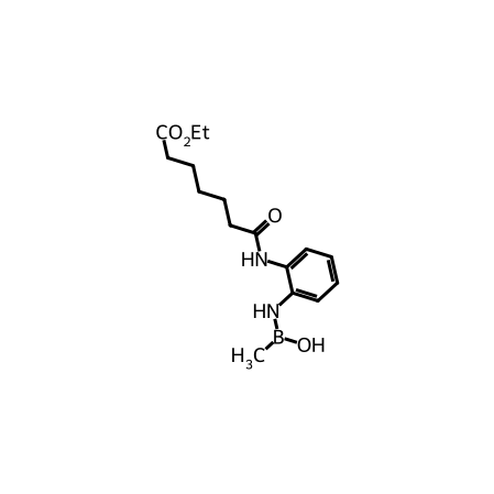 CCOC(=O)CCCCCC(=O)Nc1ccccc1NB(C)O